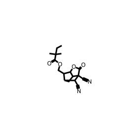 CCC(C)(C)C(=O)OCC1C2CC3C1OC(=O)C3(C#N)C2C#N